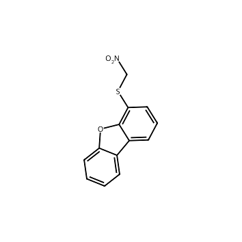 O=[N+]([O-])CSc1cccc2c1oc1ccccc12